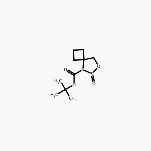 CC(C)(C)OC(=O)N1S(=O)OCC12CCC2